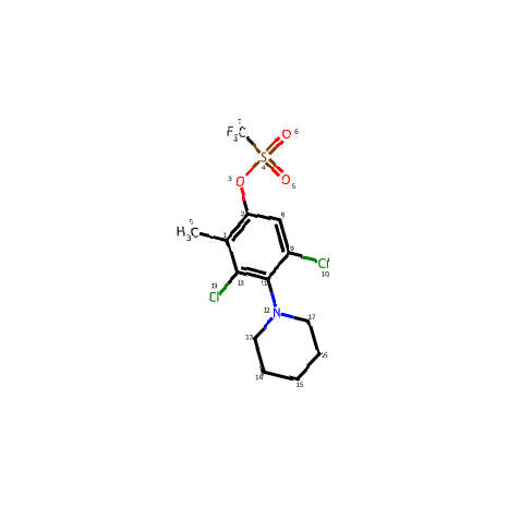 Cc1c(OS(=O)(=O)C(F)(F)F)cc(Cl)c(N2CCCCC2)c1Cl